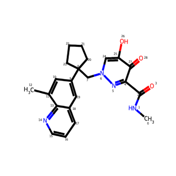 CNC(=O)c1nn(CC2(c3cc(C)c4ncccc4c3)CCCC2)cc(O)c1=O